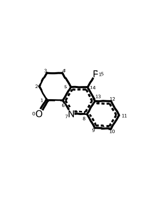 O=C1CCCc2c1nc1ccccc1c2F